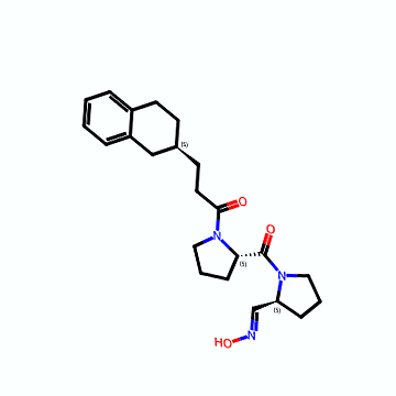 O=C([C@@H]1CCCN1C(=O)CC[C@@H]1CCc2ccccc2C1)N1CCC[C@H]1C=NO